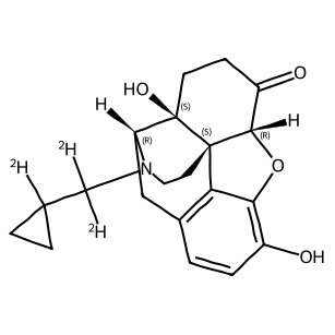 [2H]C1(C([2H])([2H])N2CC[C@]34c5c6ccc(O)c5O[C@H]3C(=O)CC[C@@]4(O)[C@H]2C6)CC1